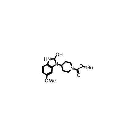 COc1ccc2c(c1)N(C1CCN(C(=O)OC(C)(C)C)CC1)C(O)N2